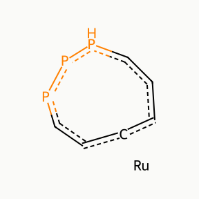 [Ru].c1ccc[pH]ppcc1